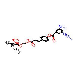 C=C(C)C(=O)OCCOC(=O)C=Cc1ccc(OC(=O)c2cc(N)cc(N)c2)cc1